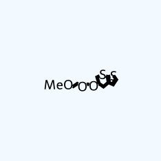 COCCOCOC1CSc2sccc2C1